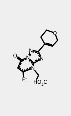 CCc1cc(=O)n2nc(C3=CCOCC3)nc2n1CC(=O)O